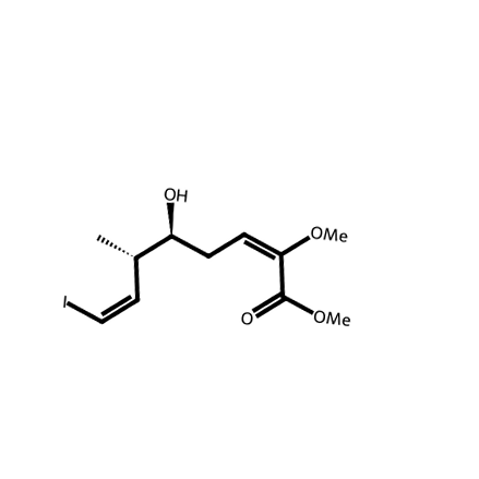 COC(=O)/C(=C\C[C@H](O)[C@@H](C)/C=C\I)OC